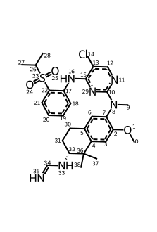 COc1cc2c(cc1N(C)c1ncc(Cl)c(Nc3ccccc3S(=O)(=O)C(C)C)n1)CC[C@@H](NC=N)C2(C)C